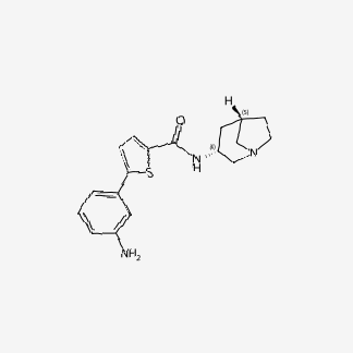 Nc1cccc(-c2ccc(C(=O)N[C@@H]3C[C@@H]4CCN(C4)C3)s2)c1